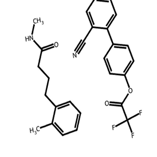 CNC(=O)CCCc1ccccc1C.N#Cc1ccccc1-c1ccc(OC(=O)C(F)(F)F)cc1